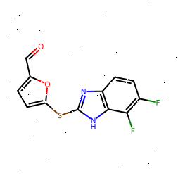 O=Cc1ccc(Sc2nc3ccc(F)c(F)c3[nH]2)o1